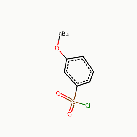 CCCCOc1cccc(S(=O)(=O)Cl)c1